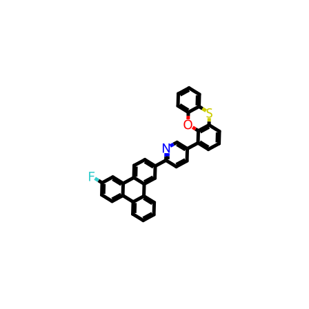 Fc1ccc2c3ccccc3c3cc(-c4ccc(-c5cccc6c5Oc5ccccc5S6)cn4)ccc3c2c1